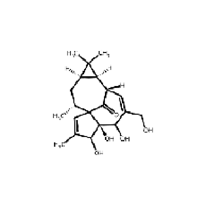 CC1=CC23C(=O)[C@@H](C=C(CO)C(O)[C@]2(O)C1O)[C@H]1[C@@H](C[C@H]3C)C1(C)C